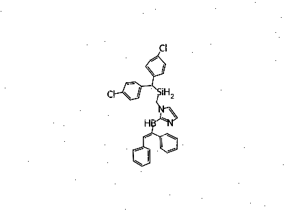 Clc1ccc(C([SiH2]Cn2ccnc2BC(=Cc2ccccc2)c2ccccc2)c2ccc(Cl)cc2)cc1